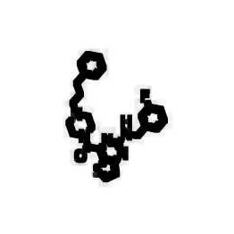 O=C(c1nc(NCc2cccc(F)c2)nc2ccsc12)N1CCN(CCCc2ccccc2)CC1